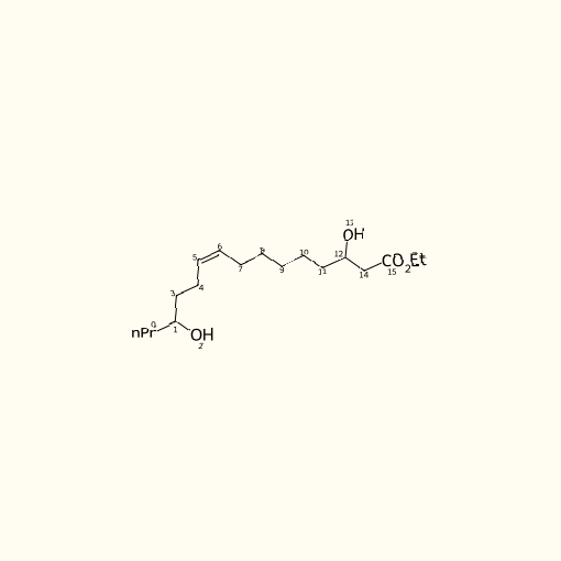 CCCC(O)CC/C=C\CCCCCC(O)CC(=O)OCC